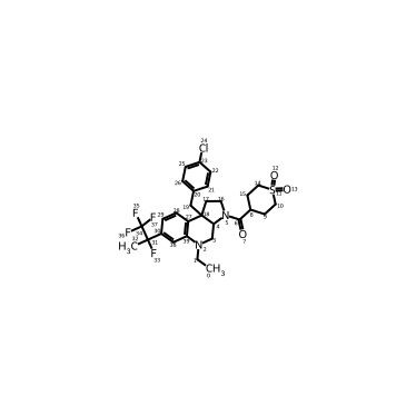 CCN1CC2N(C(=O)C3CCS(=O)(=O)CC3)CCC2(Cc2ccc(Cl)cc2)c2ccc(C(C)(F)C(F)(F)F)cc21